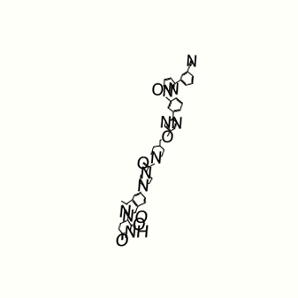 Cc1nn(C2CCC(=O)NC2=O)c(=O)c2ccc(N3CCN(C(=O)CN4CCC(COc5cnc(-c6cccc(Cn7nc(-c8cccc(C#N)c8)ccc7=O)c6)nc5)CC4)CC3)cc12